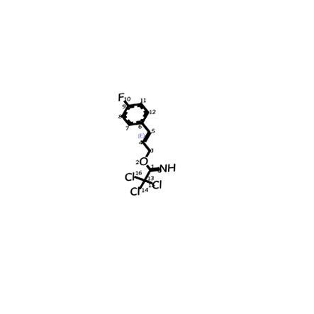 N=C(OC/C=C/c1ccc(F)cc1)C(Cl)(Cl)Cl